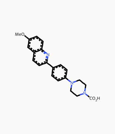 COc1ccc2nc(-c3ccc(N4CCN(C(=O)O)CC4)cc3)ccc2c1